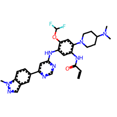 C=CC(=O)Nc1cc(Nc2cc(-c3ccc4c(cnn4C)c3)ncn2)c(OC(F)F)cc1N1CCC(N(C)C)CC1